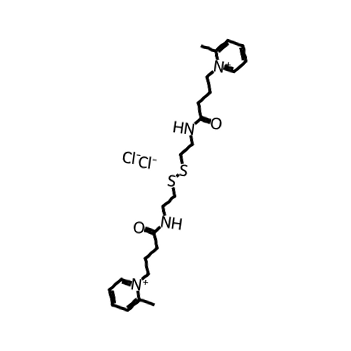 Cc1cccc[n+]1CCCC(=O)NCCSSCCNC(=O)CCC[n+]1ccccc1C.[Cl-].[Cl-]